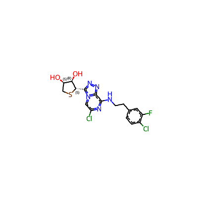 O[C@@H]1[C@H](O)CS[C@H]1c1nnc2c(NCCc3ccc(Cl)c(F)c3)nc(Cl)cn12